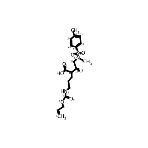 C=CCOC(=O)NCCCC(C(=O)O)C(=O)CN(C)S(=O)(=O)c1ccc(C)cc1